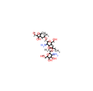 CCC(CC)(C[C@@H]1C(CO)O[C@@H](COC(C)CC2C(O)[C@@H](C=O)O[C@@H]2C)C(N)C1O)OC[C@@H]1OC(CO)[C@@H](O)C(O)C1N